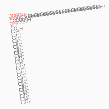 O=C(O)O.O=C(O)O.O=C(O)O.O=C(O)O.O=C(O)O.[Ca+2].[Ca+2].[Ca+2].[Ca+2].[Ca+2].[Ca+2].[Ca+2].[Ca+2].[Ca+2].[Ca+2].[Ca+2].[Ca+2].[Ca+2].[Ca+2].[Ca+2].[Ca+2].[Ca+2].[Ca+2].[Ca+2].[Ca+2].[Ca+2].[Ca+2].[Ca+2].[Ca+2].[Ca+2].[Ca+2].[Ca+2].[Ca+2].[Ca+2].[Ca+2].[Ca+2].[Ca+2].[Ca+2].[Ca+2].[Ca+2].[Ca+2].[Ca+2].[Ca+2].[Ca+2].[Ca+2].[Ca+2].[Ca+2].[Ca+2].[Ca+2].[Ca+2].[Ca+2].[Ca+2].[Ca+2].[Ca+2]